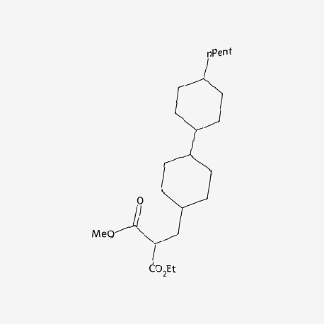 CCCCCC1CCC(C2CCC(CC(C(=O)OC)C(=O)OCC)CC2)CC1